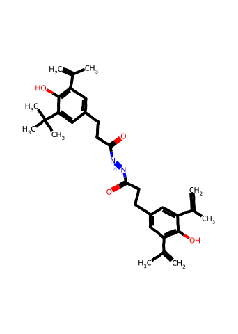 C=C(C)c1cc(CCC(=O)/N=N/C(=O)CCc2cc(C(=C)C)c(O)c(C(C)(C)C)c2)cc(C(=C)C)c1O